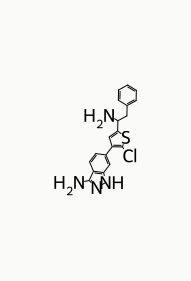 Nc1n[nH]c2cc(-c3cc(C(N)Cc4ccccc4)sc3Cl)ccc12